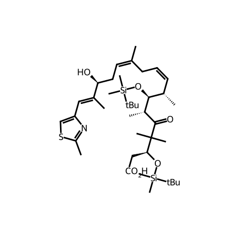 C/C(=C/C[C@H](O)/C(C)=C/c1csc(C)n1)C/C=C\[C@H](C)[C@H](O[Si](C)(C)C(C)(C)C)[C@@H](C)C(=O)C(C)(C)[C@H](CC(=O)O)O[Si](C)(C)C(C)(C)C